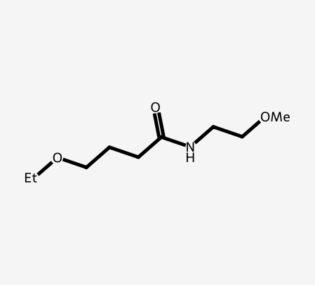 CCOCCCC(=O)NCCOC